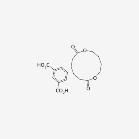 O=C(O)c1cccc(C(=O)O)c1.O=C1CCCCC(=O)OCCCCO1